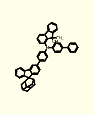 CC1(C)c2ccccc2-c2cccc(N(c3ccc(-c4ccccc4)cc3)c3ccc(-c4ccc5c(c4)-c4ccccc4C54C5CC6CC(C5)CC4C6)cc3)c21